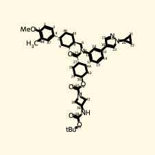 COc1ccc([C@H]2CC[C@H](CN(c3cccc(-c4cnn(C5CC5)c4)c3)C(=O)[C@H]3CC[C@H](OC(=O)N4CC(NC(=O)OC(C)(C)C)C4)CC3)CC2)cc1C